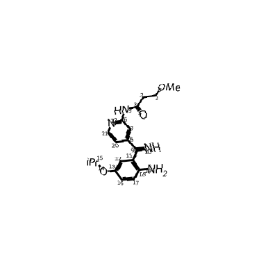 COCCC(=O)Nc1cc(C(=N)c2cc(OC(C)C)ccc2N)ccn1